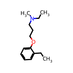 CCc1ccccc1OCCCN(C)CC